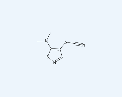 CN(C)c1sncc1SC#N